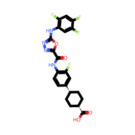 O=C(Nc1ccc([C@H]2CC[C@@H](C(=O)O)CC2)cc1F)c1nnc(Nc2cc(F)c(F)cc2F)o1